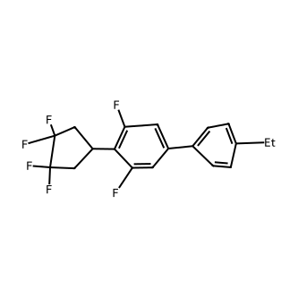 CCc1ccc(-c2cc(F)c(C3CC(F)(F)C(F)(F)C3)c(F)c2)cc1